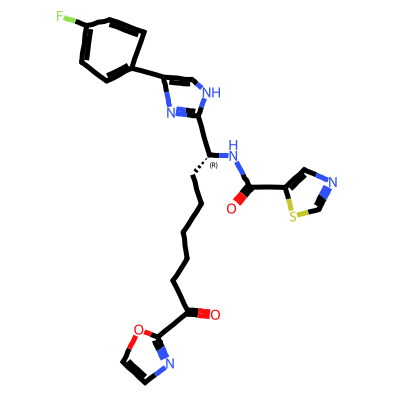 O=C(CCCCC[C@@H](NC(=O)c1cncs1)c1nc(-c2ccc(F)cc2)c[nH]1)c1ncco1